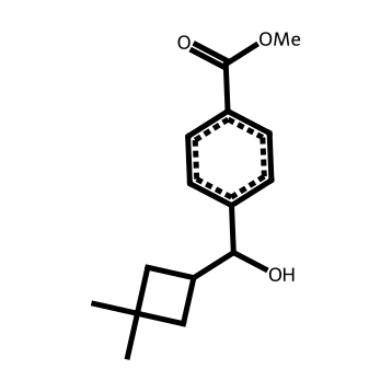 COC(=O)c1ccc(C(O)C2CC(C)(C)C2)cc1